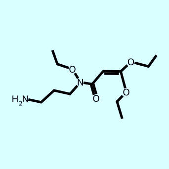 CCOC(=CC(=O)N(CCCN)OCC)OCC